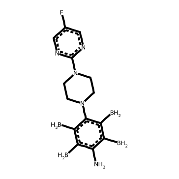 Bc1c(B)c(N2CCN(c3ncc(F)cn3)CC2)c(B)c(B)c1N